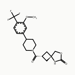 COc1cc(C2CCN(C(=O)[C@H]3C[C@]4(COC(=O)N4)C3)CC2)ccc1C(F)(F)F